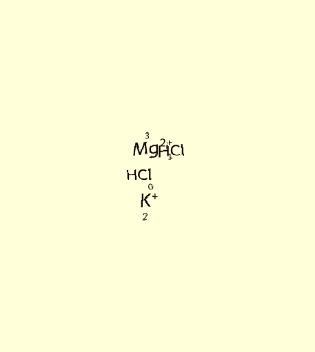 Cl.Cl.[K+].[Mg+2]